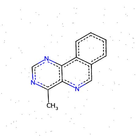 Cc1ncnc2c1ncc1ccccc12